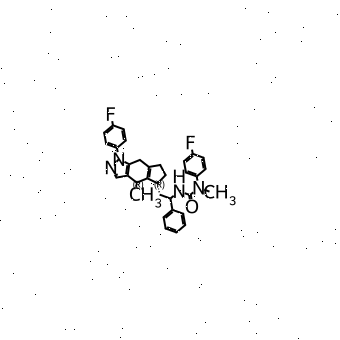 C[C@@H]1C2=C(CC[C@@H]2CC(NC(=O)N(C)c2ccc(F)cc2)c2ccccc2)Cc2c1cnn2-c1ccc(F)cc1